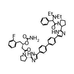 CCN(CC)C(C(=O)N1CCCC1c1ncc(-c2ccc(-c3ccc(-c4cnc([C@@H]5CCCN5C(=O)C[C@@H](Cc5ccccc5F)OC(N)=O)[nH]4)cc3)cc2)[nH]1)c1ccccc1